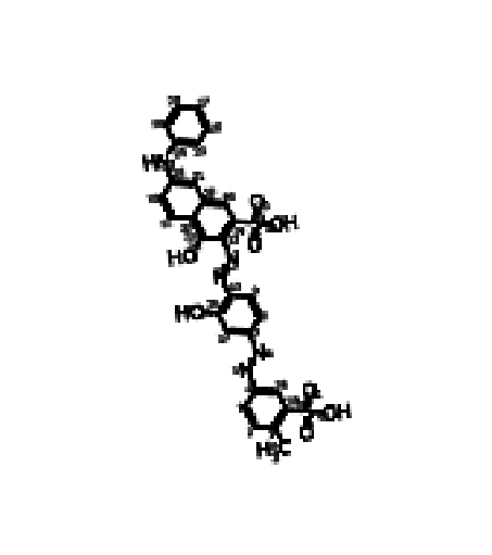 Cc1ccc(N=Nc2ccc(N=Nc3c(S(=O)(=O)O)cc4cc(Nc5ccccc5)ccc4c3O)c(O)c2)cc1S(=O)(=O)O